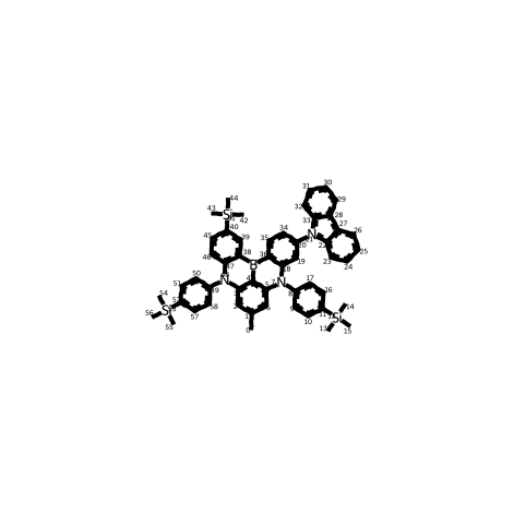 Cc1cc2c3c(c1)N(c1ccc([Si](C)(C)C)cc1)c1cc(-n4c5ccccc5c5ccccc54)ccc1B3c1cc([Si](C)(C)C)ccc1N2c1ccc([Si](C)(C)C)cc1